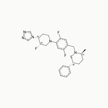 C[C@H]1CC[C@H](c2ccccc2)SN1Cc1cc(F)c(N2CC[C@@H](n3cnnc3)[C@@H](F)C2)cc1F